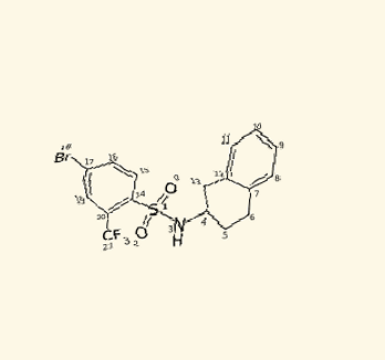 O=S(=O)(NC1CCc2ccccc2C1)c1ccc(Br)cc1C(F)(F)F